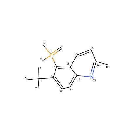 C=P(C)(C)c1c(C(C)(C)C)ccc2nc(C)ccc12